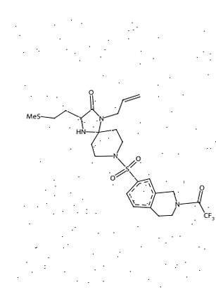 C=CCN1C(=O)C(CCSC)NC12CCN(S(=O)(=O)c1ccc3c(c1)CN(C(=O)C(F)(F)F)CC3)CC2